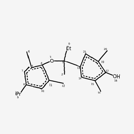 CCC(C)(Oc1c(C)cc(C(C)C)cc1C)c1cc(C)c(O)c(C)c1